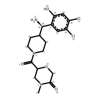 CN1CC(C(=O)N2CCC([C@@H](N)c3cc(Cl)c(Cl)cc3O)CC2)OCC1=O